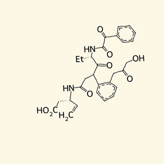 C=C[C@H](CC(=O)O)NC(=O)CC(C(=O)[C@H](CC)NC(=O)C(=O)c1ccccc1)c1ccccc1CC(=O)CO